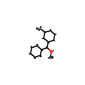 CC1CCCC(C(OC#N)C2CCCCC2)C1